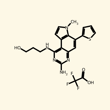 Cn1ccc2c3c(NCCCO)nc(N)nc3cc(-c3cccs3)c21.O=C(O)C(F)(F)F